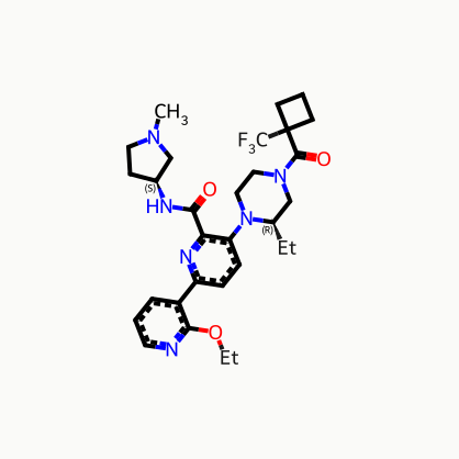 CCOc1ncccc1-c1ccc(N2CCN(C(=O)C3(C(F)(F)F)CCC3)C[C@H]2CC)c(C(=O)N[C@H]2CCN(C)C2)n1